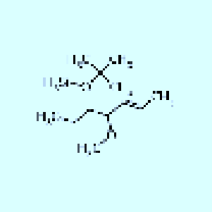 CC(C)(C)O[SiH3].CC=CC(CCC)OC